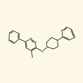 Cc1cc(-c2ccccc2)nnc1SN1CCN(c2ccccn2)CC1